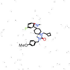 COc1ccc(CN2C[C@]3(CC[C@@](c4cccc(F)c4)(N(C)C)CC3)N(CC3CCC3)C2=O)cc1